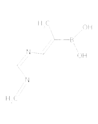 C=N/C=N\C=C(/C)B(O)O